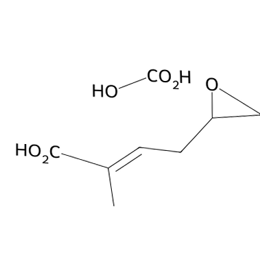 C/C(=C\CC1CO1)C(=O)O.O=C(O)O